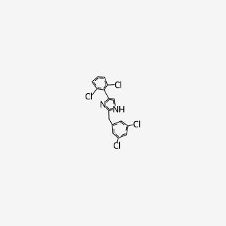 Clc1cc(Cl)cc(Cc2nc(-c3c(Cl)cccc3Cl)c[nH]2)c1